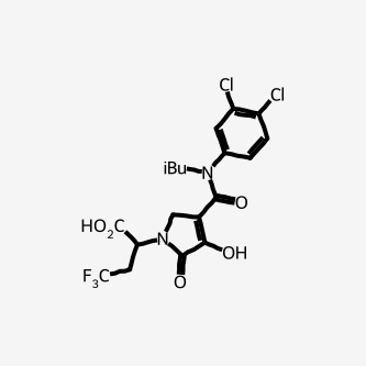 CCC(C)N(C(=O)C1=C(O)C(=O)N(C(CC(F)(F)F)C(=O)O)C1)c1ccc(Cl)c(Cl)c1